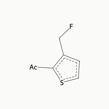 CC(=O)c1sccc1CF